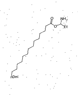 CCCCCCCCCCCCCCCCCCCCCCCC(=O)OC(N)CC